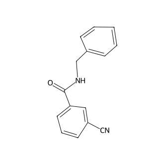 N#Cc1cccc(C(=O)NCc2ccccc2)c1